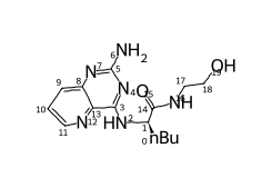 CCCC[C@@H](Nc1nc(N)nc2cccnc12)C(=O)NCCO